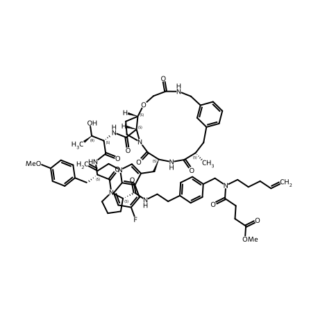 C=CCCCN(Cc1ccc(CCNC(=O)[C@@H]2CCCN2C(=O)[C@H](Cc2ccc(OC)cc2)NC(=O)[C@@H](NC(=O)[C@@H]2[C@@H]3CCN2C(=O)[C@H](Cc2cn(CC=C)c4ccc(F)cc24)NC(=O)[C@@H](C)Cc2cccc(c2)CNC(=O)CO3)[C@@H](C)O)cc1)C(=O)CCC(=O)OC